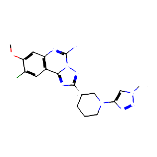 COc1cc2nc(N)n3nc([C@@H]4CCCN(c5cn(C)nn5)C4)nc3c2cc1F